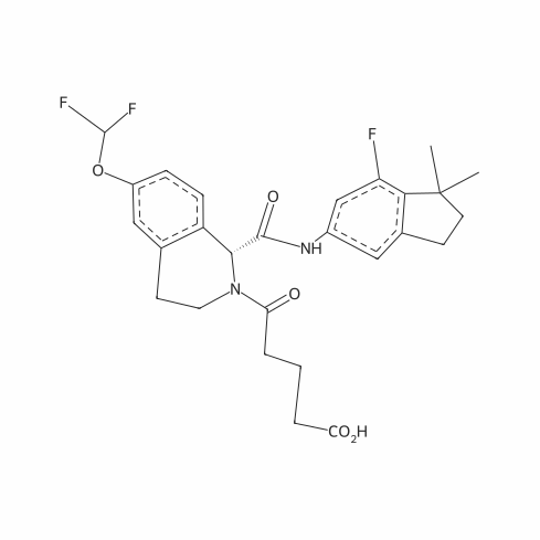 CC1(C)CCc2cc(NC(=O)[C@H]3c4ccc(OC(F)F)cc4CCN3C(=O)CCCC(=O)O)cc(F)c21